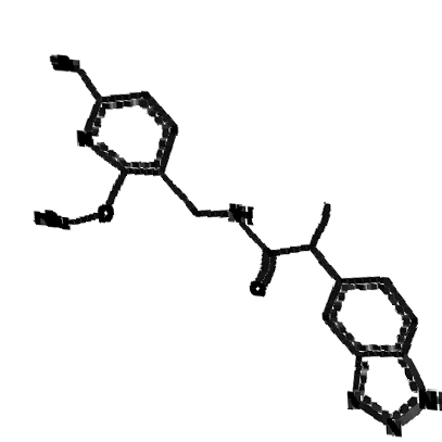 CCCCOc1nc(C(C)(C)C)ccc1CNC(=O)C(C)c1ccc2[nH]nnc2c1